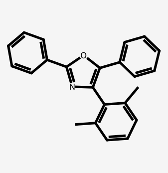 Cc1cccc(C)c1-c1nc(-c2ccccc2)oc1-c1ccccc1